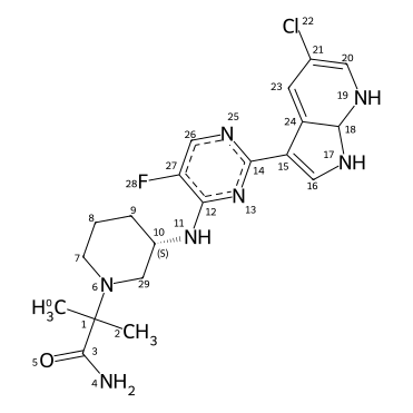 CC(C)(C(N)=O)N1CCC[C@H](Nc2nc(C3=CNC4NC=C(Cl)C=C34)ncc2F)C1